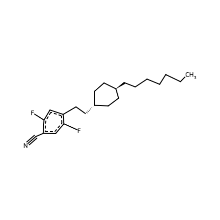 CCCCCCC[C@H]1CC[C@H](CCc2cc(F)c(C#N)cc2F)CC1